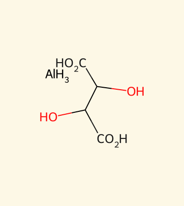 O=C(O)C(O)C(O)C(=O)O.[AlH3]